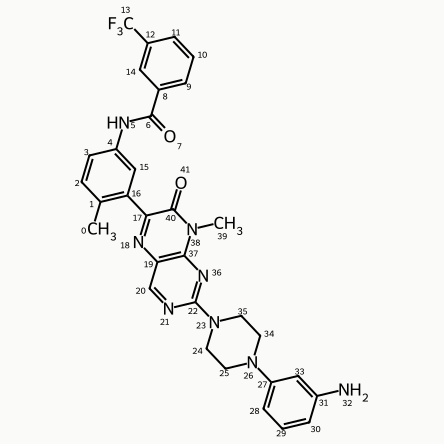 Cc1ccc(NC(=O)c2cccc(C(F)(F)F)c2)cc1-c1nc2cnc(N3CCN(c4cccc(N)c4)CC3)nc2n(C)c1=O